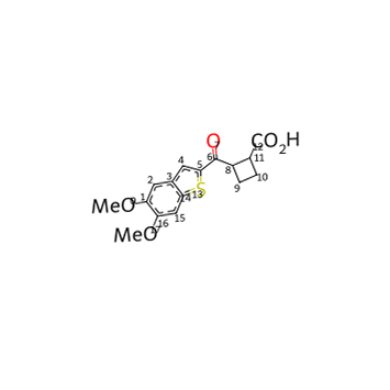 COc1cc2cc(C(=O)C3CCC3C(=O)O)sc2cc1OC